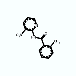 Cc1ccccc1C(=O)Nc1ncccc1[N+](=O)[O-]